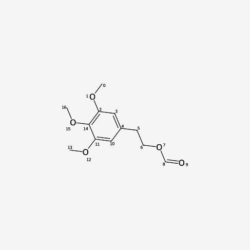 COc1cc(CCOC=O)cc(OC)c1OC